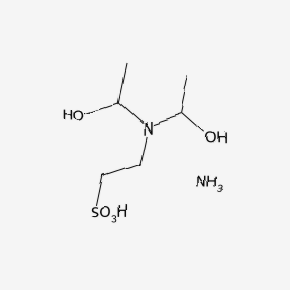 CC(O)N(CCS(=O)(=O)O)C(C)O.N